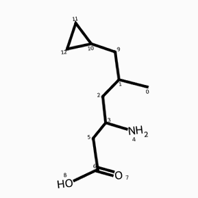 CC(CC(N)CC(=O)O)CC1CC1